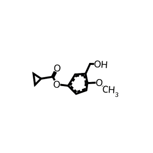 COc1ccc(OC(=O)C2CC2)cc1CO